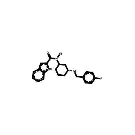 CCN(C(=O)c1cc2ccccc2[nH]1)C1CCC[C@@H](NCc2ccc(F)cc2)C1